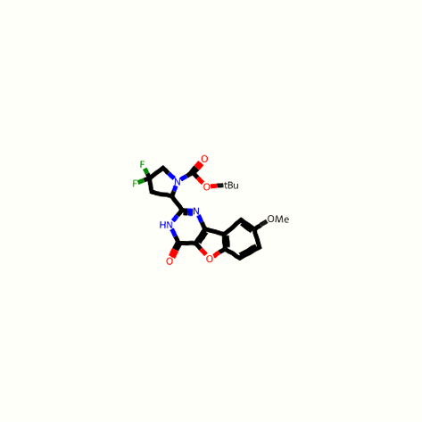 COc1ccc2oc3c(=O)[nH]c(C4CC(F)(F)CN4C(=O)OC(C)(C)C)nc3c2c1